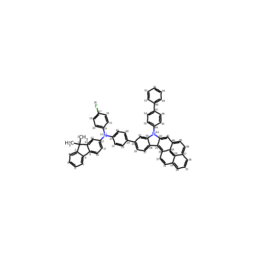 CC1(C)c2ccccc2-c2ccc(N(c3ccc(F)cc3)c3ccc(-c4ccc5c6c7ccc8cccc9ccc(cc6n(-c6ccc(-c%10ccccc%10)cc6)c5c4)c7c98)cc3)cc21